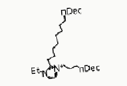 CCCCCCCCCCCCCCCCCCc1n(CC)cc[n+]1CCCCCCCCCCCCC